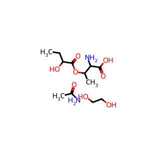 CC(N)=O.CCC(O)C(=O)OC(C)C(N)C(=O)O.OCCO